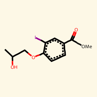 COC(=O)c1ccc(OCC(C)O)c(I)c1